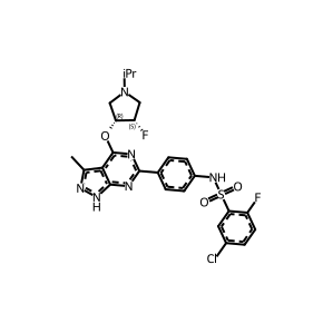 Cc1n[nH]c2nc(-c3ccc(NS(=O)(=O)c4cc(Cl)ccc4F)cc3)nc(O[C@@H]3CN(C(C)C)C[C@@H]3F)c12